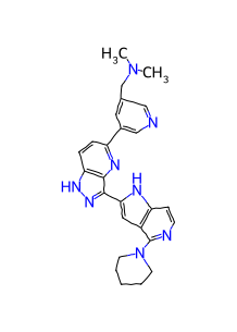 CN(C)Cc1cncc(-c2ccc3[nH]nc(-c4cc5c(N6CCCCC6)nccc5[nH]4)c3n2)c1